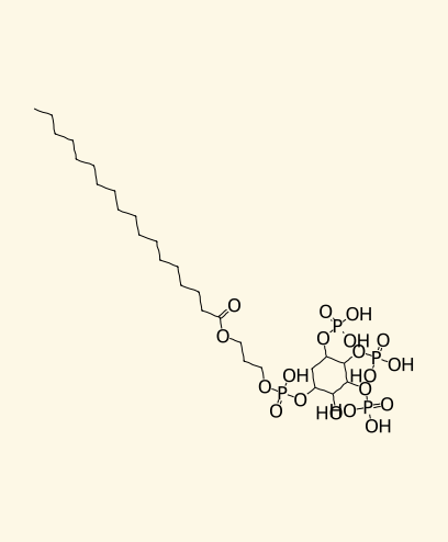 CCCCCCCCCCCCCCCCCC(=O)OCCCOP(=O)(O)OC1CC(OP(=O)(O)O)C(OP(=O)(O)O)C(OP(=O)(O)O)C1O